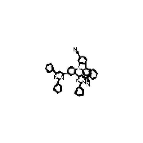 N#Cc1ccc2c3ccc(C#N)cc3n(-c3ccc(-c4cc(-c5ccccc5)nc(-c5ccccc5)n4)cc3-c3cc(-c4ccccc4)nc(-c4ccccc4)n3)c2c1